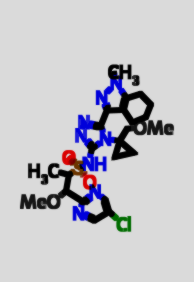 COCC1(n2c(NS(=O)(=O)C(C)C(OC)c3ncc(Cl)cn3)nnc2-c2nn(C)c3c2CCCC3)CC1